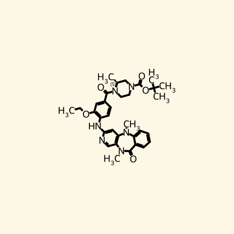 CCOc1cc(C(=O)N2CCN(C(=O)OC(C)(C)C)C[C@@H]2C)ccc1Nc1cc2c(cn1)N(C)C(=O)c1ccccc1N2C